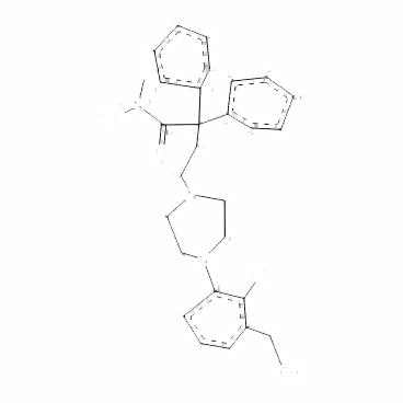 CCc1cccc(N2CCN(CCC(C(=O)N(C)C)(c3ccccc3)c3ccccc3)CC2)c1Cl